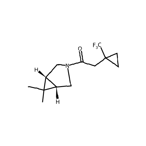 CC1(C)[C@@H]2CN(C(=O)CC3(C(F)(F)F)CC3)C[C@@H]21